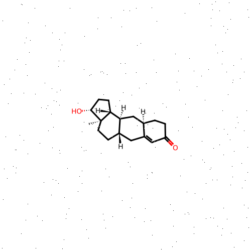 C[C@@]12CC[C@H]3CC4=CC(=O)CC[C@@H]4C[C@@H]3[C@H]1CC[C@H]2O